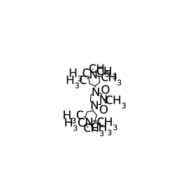 CN1C(=O)N(C2CC(C)(C)N(C)C(C)(C)C2)CCN(C2CC(C)(C)N(C)C(C)(C)C2)C1=O